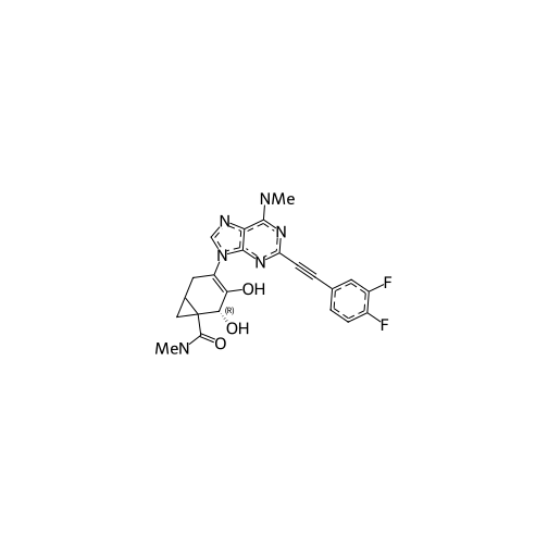 CNC(=O)C12CC1CC(n1cnc3c(NC)nc(C#Cc4ccc(F)c(F)c4)nc31)=C(O)[C@@H]2O